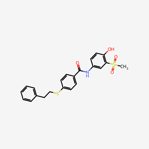 CS(=O)(=O)c1cc(NC(=O)c2ccc(SCCc3ccccc3)cc2)ccc1O